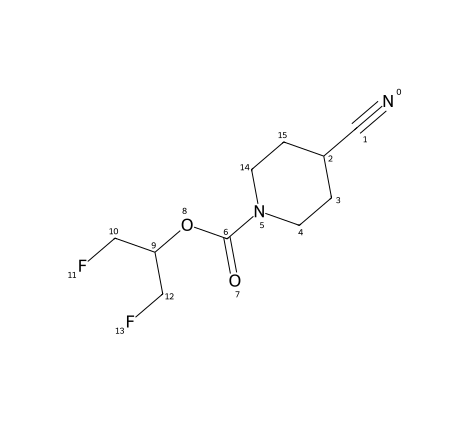 N#CC1CCN(C(=O)OC(CF)CF)CC1